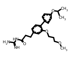 COCCCOc1cc(CCC(=O)NC(=N)N)ccc1-c1ccc(OC(C)C)cc1